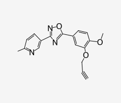 C#CCOc1cc(-c2nc(-c3ccc(C)nc3)no2)ccc1OC